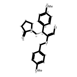 CCC=C(OCc1ccc(OC)cc1)[C@H](CN1CCCC1=O)c1ccc(OC)cc1